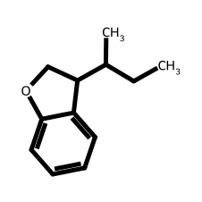 CCC(C)C1COc2ccccc21